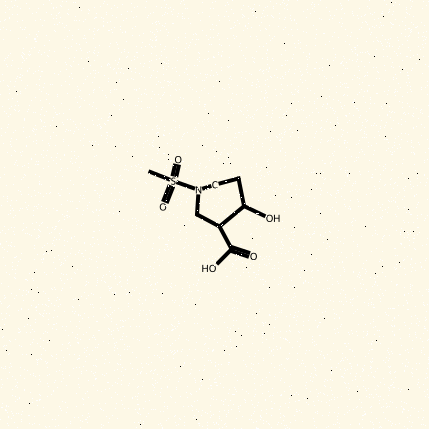 CS(=O)(=O)N1CCC(O)C(C(=O)O)C1